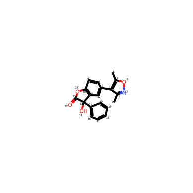 Cc1noc(C)c1-c1ccc2c(c1)C(O)(c1ccccc1)C(=O)O2